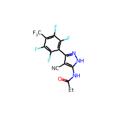 CCC(=O)Nc1[nH]nc(-c2c(F)c(F)c(C(F)(F)F)c(F)c2F)c1C#N